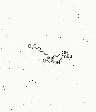 CCCCC(O)(CC=C[C@H]1[C@H](O)CC(=O)[C@@H]1CCCCOCC(=O)O)C1CC1